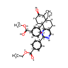 CCOC(=O)c1ccc(-c2ncc3c(n2)C2(c4cccc(C(=O)OC)c4)CCC(=O)[C@@H](C)[C@@H]2CC3)cc1